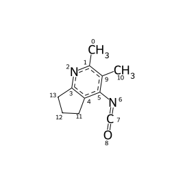 Cc1nc2c(c(N=C=O)c1C)CCC2